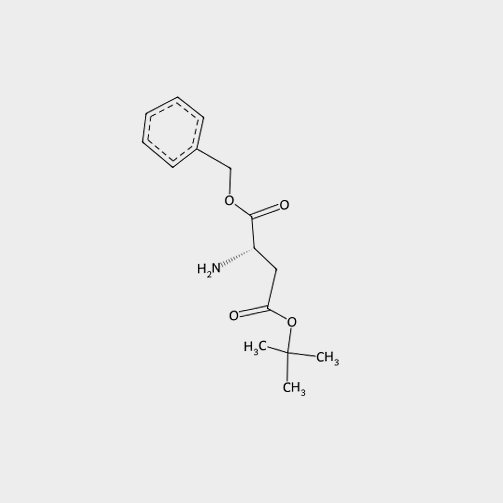 CC(C)(C)OC(=O)C[C@H](N)C(=O)OCc1ccccc1